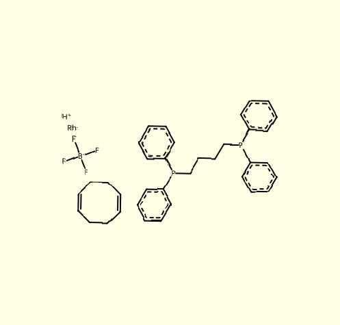 C1=CCCC=CCC1.F[B-](F)(F)F.[H+].[Rh].c1ccc(P(CCCCP(c2ccccc2)c2ccccc2)c2ccccc2)cc1